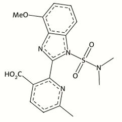 COc1cccc2c1nc(-c1nc(C)ccc1C(=O)O)n2S(=O)(=O)N(C)C